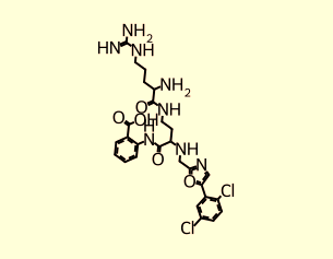 N=C(N)NCCCC(N)C(=O)NCCC(NCc1ncc(-c2cc(Cl)ccc2Cl)o1)C(=O)Nc1ccccc1C(=O)O